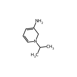 CC(C)N1C=CC=C(N)C1